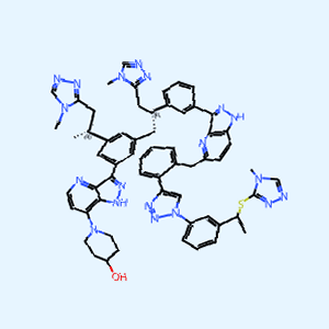 CC(Sc1nncn1C)c1cccc(-n2cc(-c3ccccc3Cc3ccc4[nH]nc(-c5cccc([C@H](Cc6cc(-c7n[nH]c8c(N9CCC(O)CC9)ccnc78)cc([C@H](C)Cc7nncn7C)c6)Cc6nncn6C)c5)c4n3)nn2)c1